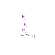 CC.I.I.I.I